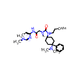 C=N/C=N\C(=C/C)NC(=O)CN1C[C@]2(CC[C@](c3ccccc3)(N(C)C)CC2)N(CCOC)C1=O